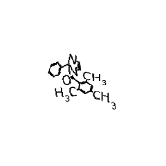 Cc1cc(C)c(C(=O)n2ccnc2-c2ccccc2)c(C)c1